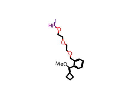 COC(=C1CCC1)c1ccccc1COCCOCCOPI